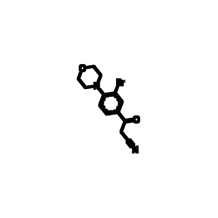 N#CCC(=O)c1ccc(N2CCOCC2)c(Br)c1